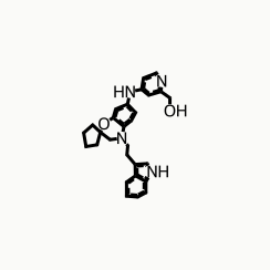 OCc1cc(Nc2ccc3c(c2)OC2(CCCC2)CN3CCc2c[nH]c3ccccc23)ccn1